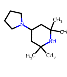 CC1(C)CC(N2C[CH]CC2)CC(C)(C)N1